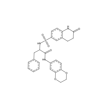 O=C1CCc2cc(S(=O)(=O)NC(Cc3ccccc3)C(=O)Nc3ccc4c(c3)OCCO4)ccc2N1